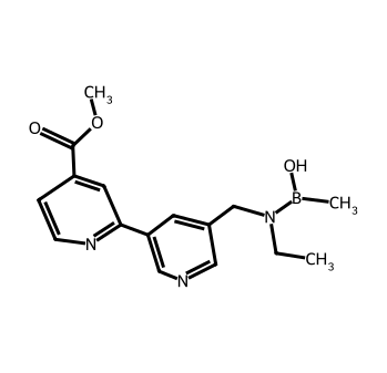 CCN(Cc1cncc(-c2cc(C(=O)OC)ccn2)c1)B(C)O